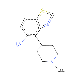 Nc1ccc2scnc2c1C1CCN(C(=O)O)CC1